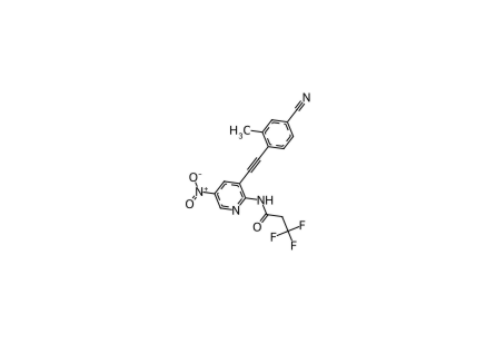 Cc1cc(C#N)ccc1C#Cc1cc([N+](=O)[O-])cnc1NC(=O)CC(F)(F)F